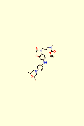 Cc1cc(Nc2ccc3c(c2)OCC(=O)N3CCCN(C)C(=O)OC(C)(C)C)ccc1N1CC(C)OC(C)C1